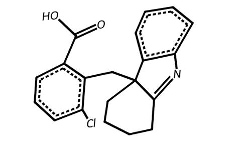 O=C(O)c1cccc(Cl)c1CC12CCCCC1=Nc1ccccc12